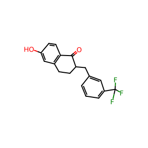 O=C1c2ccc(O)cc2CCC1Cc1cccc(C(F)(F)F)c1